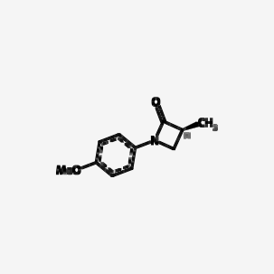 COc1ccc(N2C[C@H](C)C2=O)cc1